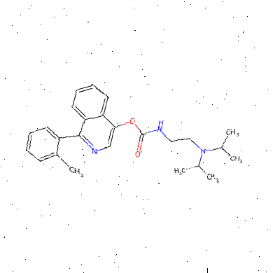 Cc1ccccc1-c1ncc(OC(=O)NCCN(C(C)C)C(C)C)c2ccccc12